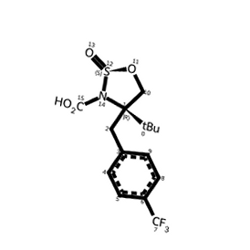 CC(C)(C)[C@]1(Cc2ccc(C(F)(F)F)cc2)CO[S@](=O)N1C(=O)O